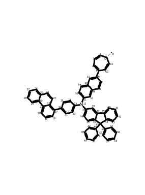 C[C@H]1C=CC=C(c2ccc3cc(N(c4ccc(-c5cccc6c5ccc5ccccc56)cc4)c4ccc5c(c4)-c4ccccc4C5(c4ccccc4)c4ccccc4)ccc3c2)C=C1